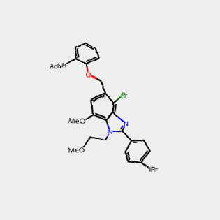 COCCn1c(-c2ccc(C(C)C)cc2)nc2c(Br)c(COc3ccccc3NC(C)=O)cc(OC)c21